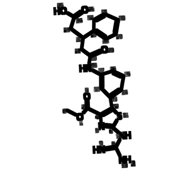 COC(=O)c1nc(NC(=N)N)sc1-c1cccc(NC(=O)CC(CC(=O)O)c2ccccc2)c1